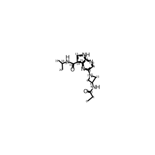 CCC(=O)NC1CN(c2cnc3[nH]cc(C(=O)NC(C)C)c3n2)C1